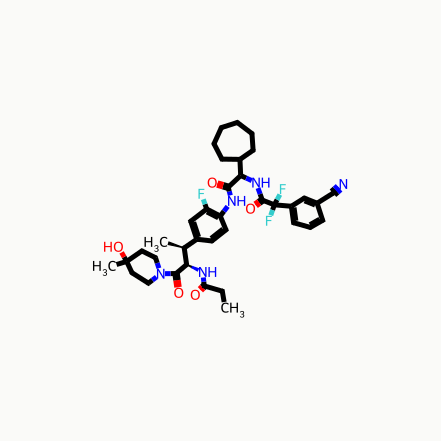 CCC(=O)N[C@@H](C(=O)N1CCC(C)(O)CC1)[C@@H](C)c1ccc(NC(=O)C(NC(=O)C(F)(F)c2cccc(C#N)c2)C2CCCCCC2)c(F)c1